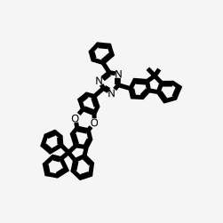 CC1(C)c2ccccc2-c2ccc(-c3nc(-c4ccccc4)nc(-c4ccc5c(c4)Oc4cc6c(cc4O5)C(c4ccccc4)(c4ccccc4)c4ccccc4-6)n3)cc21